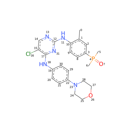 Cc1cc(P(C)(C)=O)ccc1Nc1ncc(Cl)c(Nc2ccc(N3CCOCC3)cc2)n1